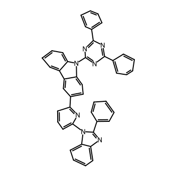 c1ccc(-c2nc(-c3ccccc3)nc(-n3c4ccccc4c4cc(-c5cccc(-n6c(-c7ccccc7)nc7ccccc76)n5)ccc43)n2)cc1